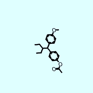 CCC(CC)C(c1ccc(OC)cc1)c1ccc(OC(C)=O)cc1